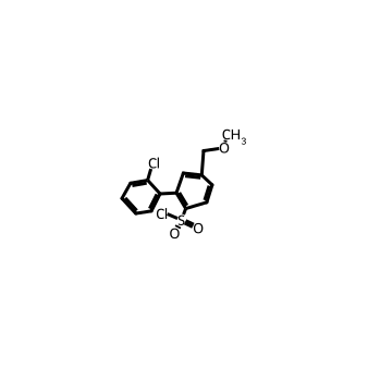 COCc1ccc(S(=O)(=O)Cl)c(-c2ccccc2Cl)c1